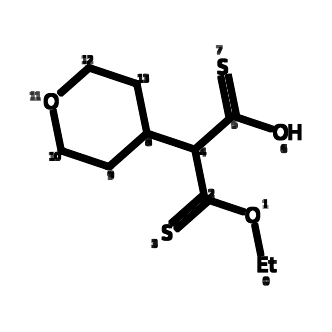 CCOC(=S)C(C(O)=S)C1CCOCC1